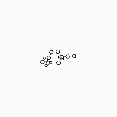 c1ccc(-c2ccc(-c3cc(-c4cccc(-c5cccc(-c6ccc7c(c6)Oc6ccccc6C76c7ccccc7-c7ccccc76)c5)c4)nc(-c4ccccc4)n3)cc2)cc1